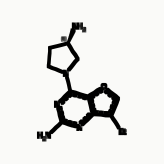 CCc1coc2c(N3CC[C@@H](N)C3)nc(N)nc12